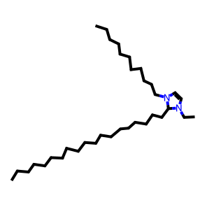 CCCCCCCCCCCCCCCCCCCC1N(CC)C=CN1CCCCCCCCCCC